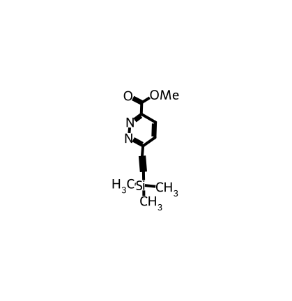 COC(=O)c1ccc(C#C[Si](C)(C)C)nn1